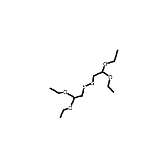 CCOC(CSSCC(OCC)OCC)OCC